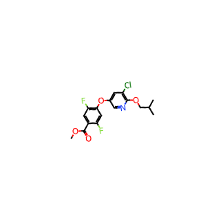 COC(=O)c1cc(F)c(Oc2cnc(OCC(C)C)c(Cl)c2)cc1F